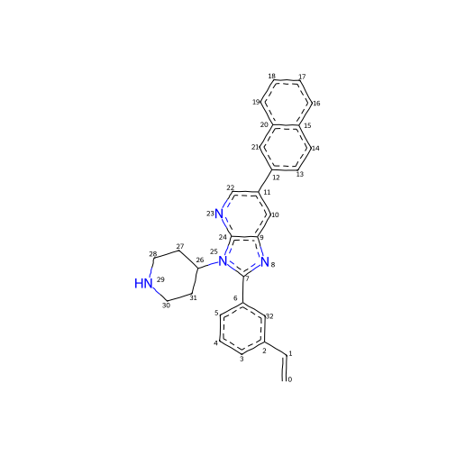 C=Cc1cccc(-c2nc3cc(-c4ccc5ccccc5c4)cnc3n2C2CCNCC2)c1